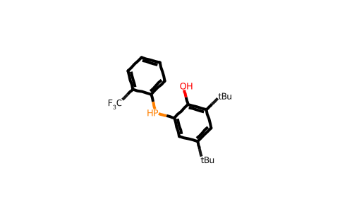 CC(C)(C)c1cc(Pc2ccccc2C(F)(F)F)c(O)c(C(C)(C)C)c1